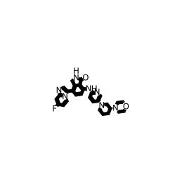 O=C1NCc2c(-c3cnc4cc(F)ccn34)ccc(Nc3ccc(N4CCC[C@@H](N5CCOCC5)C4)cn3)c21